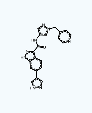 O=C(Nc1cnn(Cc2ccncc2)c1)c1n[nH]c2cc(-c3cn[nH]c3)ccc12